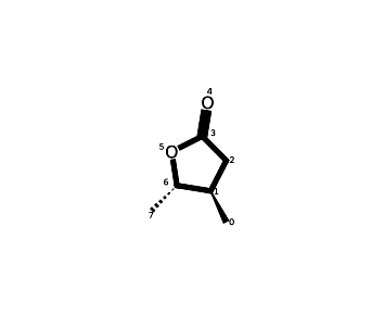 C[C@@H]1CC(=O)O[C@H]1C